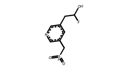 O=[SH](=O)Cc1cncc([CH]C(O)F)c1